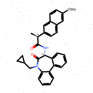 COc1ccc2cc([C@H](C)C(=O)N[C@H]3C(=O)N(CC4CC4)c4ccccc4-c4ccccc43)ccc2c1